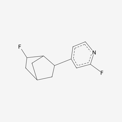 Fc1cc(C2CC3CC(F)C2C3)ccn1